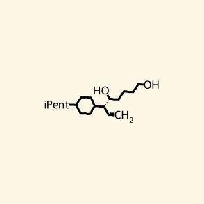 C=C[C@@H](C(O)CCCCO)C1CCC(C(C)CCC)CC1